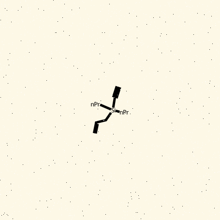 C#C[Si](CC=C)(CCC)CCC